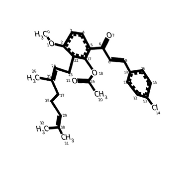 COc1ccc(C(=O)C=Cc2ccc(Cl)cc2)c(OC(C)=O)c1CC=C(C)CCC=C(C)C